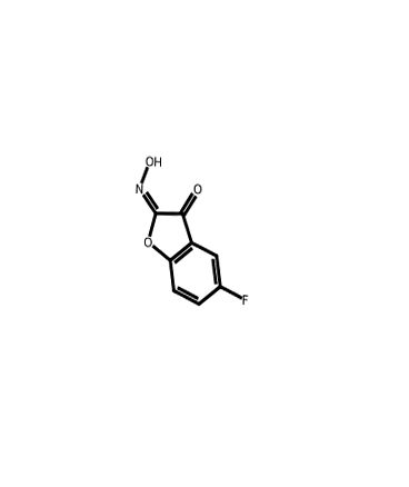 O=C1C(=NO)Oc2ccc(F)cc21